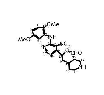 COc1ccc(OC)c(Nc2ncnc(C(CC3CCNCC3)OC=O)c2[N+](=O)[O-])c1